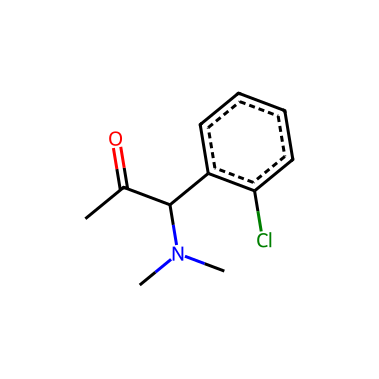 CC(=O)C(c1ccccc1Cl)N(C)C